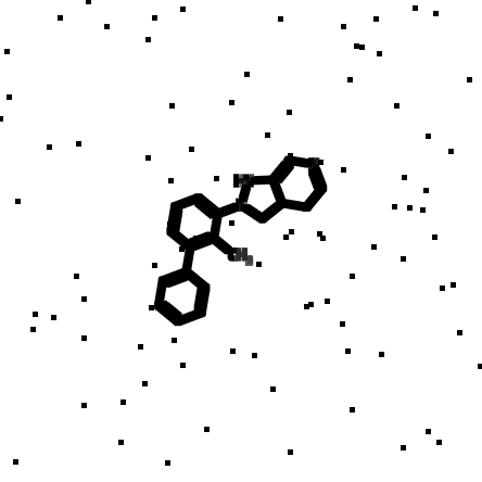 Cc1c(-c2ccccc2)cccc1N1CC2CC=NC=C2N1